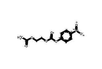 CC(=O)OCCOC(=O)Oc1ccc([N+](=O)[O-])cc1